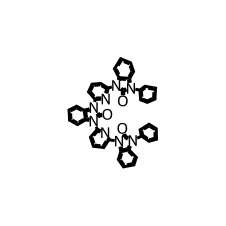 O=c1n(-c2ccccc2)c2ccccc2n1-c1cccc(-n2c(=O)n(-c3cccc(-n4c(=O)n(-c5ccccc5)c5ccccc54)n3)c3ccccc32)n1